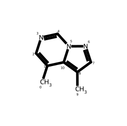 Cc1cncn2ncc(C)c12